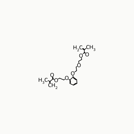 C=C(C)C(=O)OCCOCCOc1ccccc1OCCOC(=O)C(=C)C